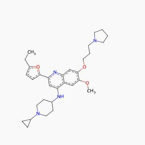 CCc1ccc(-c2cc(NC3CCN(C4CC4)CC3)c3cc(OC)c(OCCCN4CCCC4)cc3n2)o1